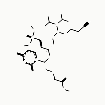 CNC(=O)COC[C@@H](O[C@H](/C=C/P(=O)(OC)OC)COP(OCCC#N)N(C(C)C)C(C)C)n1ccc(=O)[nH]c1=O